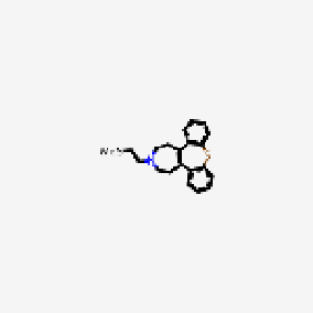 CSCCN1CCC2=C(CC1)c1ccccc1Sc1ccccc12